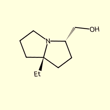 CC[C@@]12CCCN1[C@H](CO)CC2